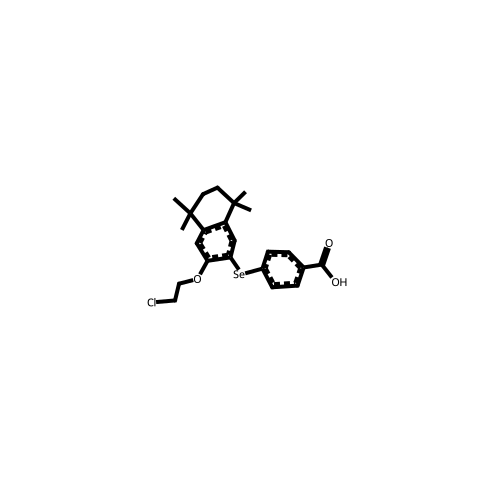 CC1(C)CCC(C)(C)c2cc([Se]c3ccc(C(=O)O)cc3)c(OCCCl)cc21